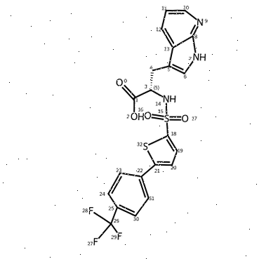 O=C(O)[C@H](Cc1c[nH]c2ncccc12)NS(=O)(=O)c1ccc(-c2ccc(C(F)(F)F)cc2)s1